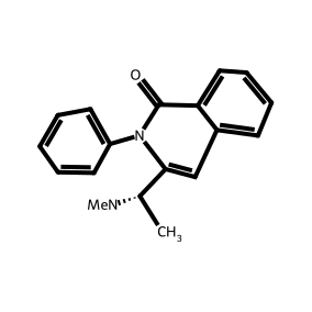 CN[C@@H](C)c1cc2ccccc2c(=O)n1-c1ccccc1